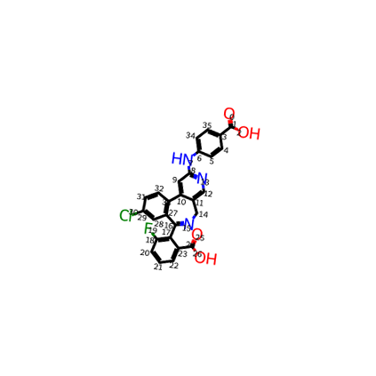 O=C(O)c1ccc(Nc2cc3c(cn2)CN=C(c2c(F)cccc2C(=O)O)c2cc(Cl)ccc2-3)cc1